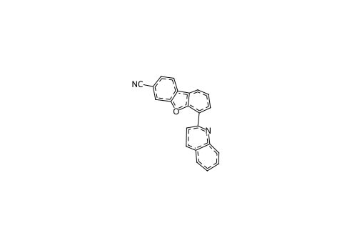 N#Cc1ccc2c(c1)oc1c(-c3ccc4ccccc4n3)cccc12